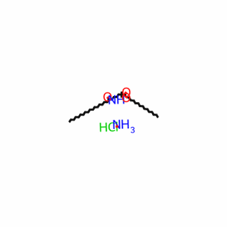 CCCCCCCCCCCCCCCCCC(=O)NCCCC(C)(C)C(=O)OCCCCCCCCCCCCCC.Cl.N